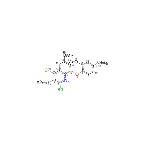 CCCCCc1c(Cl)nc2c(Oc3ccc(OC)cc3OC)cc(OC)cc2c1Cl